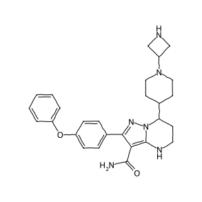 NC(=O)c1c(-c2ccc(Oc3ccccc3)cc2)nn2c1NCCC2C1CCN(C2CNC2)CC1